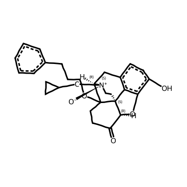 O=C1CCC2(OCCCc3ccccc3)[C@H]3Cc4ccc(O)c5c4[C@@]2(CC[N@+]3([O-])CC2CC2)[C@H]1O5